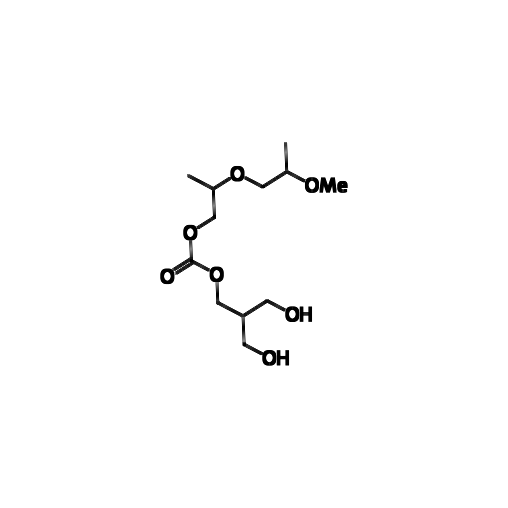 COC(C)COC(C)COC(=O)OCC(CO)CO